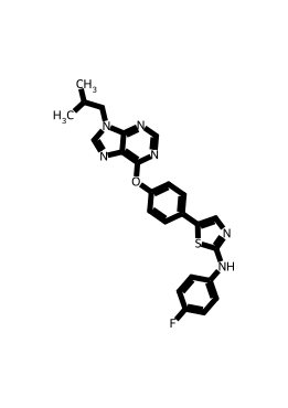 CC(C)Cn1cnc2c(Oc3ccc(-c4cnc(Nc5ccc(F)cc5)s4)cc3)ncnc21